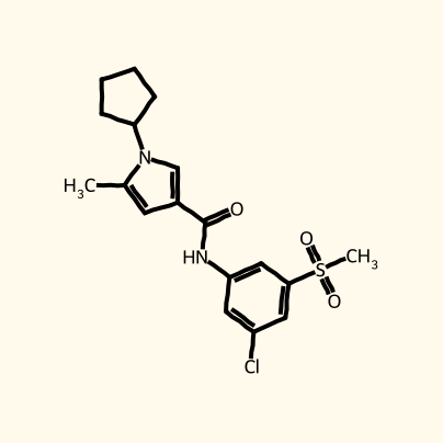 Cc1cc(C(=O)Nc2cc(Cl)cc(S(C)(=O)=O)c2)cn1C1CCCC1